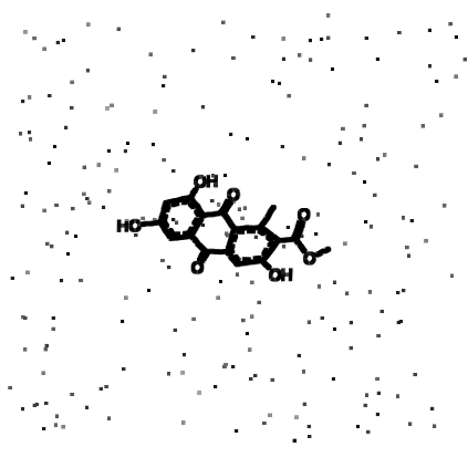 COC(=O)c1c(O)cc2c(c1C)C(=O)c1c(O)cc(O)cc1C2=O